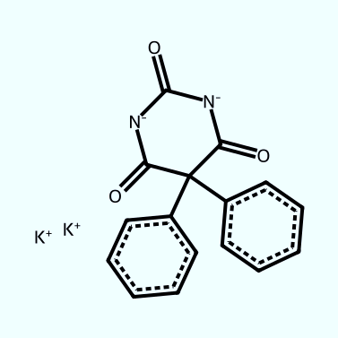 O=C1[N-]C(=O)C(c2ccccc2)(c2ccccc2)C(=O)[N-]1.[K+].[K+]